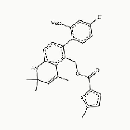 COc1cc(Cl)ccc1-c1ccc2c(c1COC(=O)c1ccc(C)s1)C(C)=CC(C)(C)N2